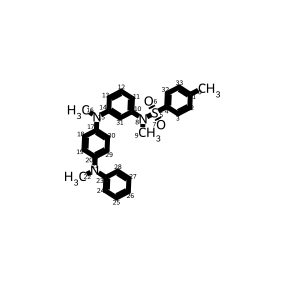 Cc1ccc(S(=O)(=O)N(C)c2cccc(N(C)c3ccc(N(C)c4ccccc4)cc3)c2)cc1